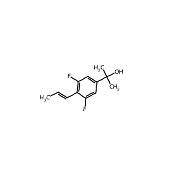 CC=Cc1c(F)cc(C(C)(C)O)cc1F